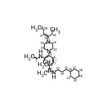 C=CN/C(C)=C(/C=C\C(=C)B(C)NCCCC1CCCCC1)N1CCN(/C(=C/CC)CC)CC1